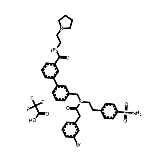 NS(=O)(=O)c1ccc(CCN(Cc2cccc(-c3cccc(C(=O)NCCN4CCCC4)c3)c2)C(=O)Cc2cccc(Br)c2)cc1.O=C(O)C(F)(F)F